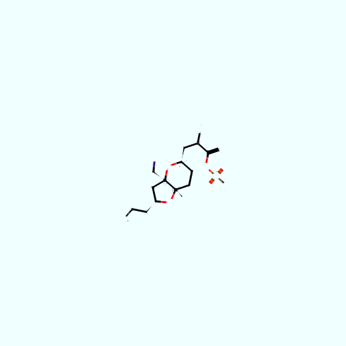 C=C(OS(=O)(=O)C(F)(F)F)C(C)C[C@H]1CC[C@@H]2O[C@@H](CCC=O)C[C@]2(CI)O1